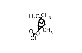 CC1(C)C2CC1C1C(OC(=O)O)C1(C)C2